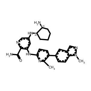 Cc1nc(Nc2cc(N[C@@H]3CCCC[C@@H]3N)cnc2C(N)=O)ccc1-c1ccc2c(cnn2C)c1